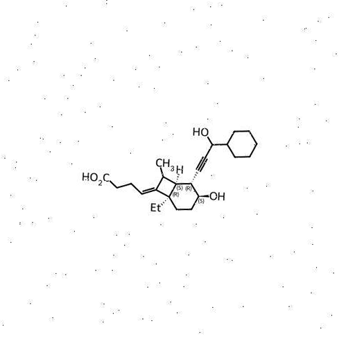 CC[C@@]12CC[C@H](O)[C@@H](C#CC(O)C3CCCCC3)[C@@H]1C(C)C2=CCCC(=O)O